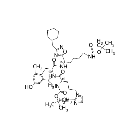 Cc1cc(O)cc(C)c1C[C@H](NC(=O)[C@@H](CCCn1ccnc1N)NC(=O)OC(C)(C)C)C(=O)N[C@@H](CCCCNC(=O)OC(C)(C)C)c1nc(CC2CCCCC2)no1